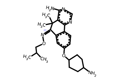 CC(C)CO/N=C1\c2cc(OC3CCC(N)CC3)ccc2-c2ncnc(N)c2C1(C)C